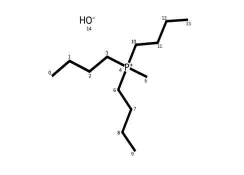 CCCC[P+](C)(CCCC)CCCC.[OH-]